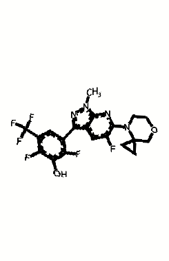 Cn1nc(-c2cc(C(F)(F)F)c(F)c(O)c2F)c2cc(F)c(N3CCOCC34CC4)nc21